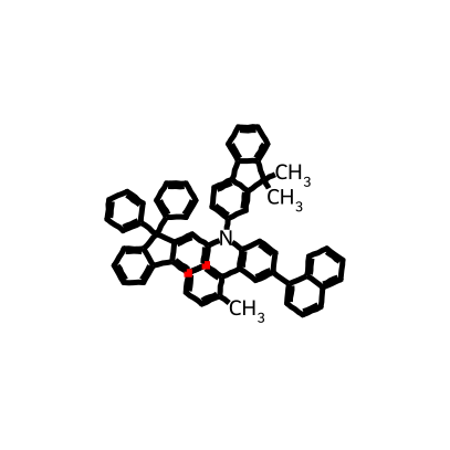 Cc1ccccc1-c1cc(-c2cccc3ccccc23)ccc1N(c1ccc2c(c1)C(C)(C)c1ccccc1-2)c1ccc2c(c1)C(c1ccccc1)(c1ccccc1)c1ccccc1-2